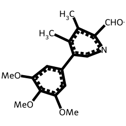 COc1cc(-c2cnc([C]=O)c(C)c2C)cc(OC)c1OC